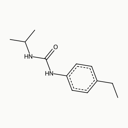 CCc1ccc(NC(=O)NC(C)C)cc1